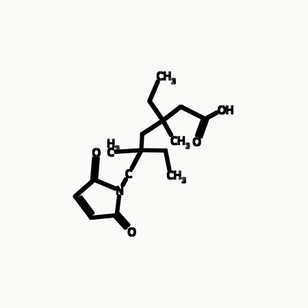 CCC(C)(CC(=O)O)CC(C)(CC)CN1C(=O)C=CC1=O